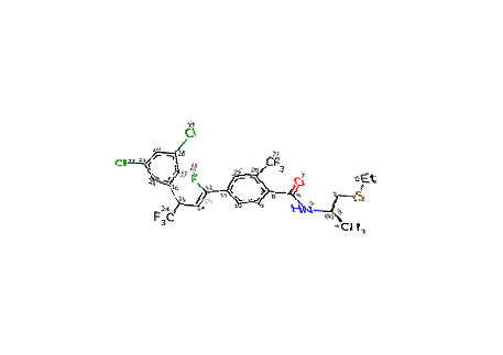 CCSC[C@@H](C)NC(=O)c1ccc(/C(F)=C/C(c2cc(Cl)cc(Cl)c2)C(F)(F)F)cc1C(F)(F)F